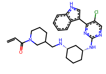 C=CC(=O)N1CCCC(CN[C@H]2CCC[C@@H](Nc3ncc(Cl)c(-c4c[nH]c5ccccc45)n3)C2)C1